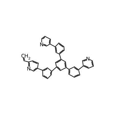 C=Cc1ccc(-c2cccc(-c3cc(-c4cccc(-c5cccnc5)c4)cc(-c4cccc(-c5cccnc5)c4)c3)c2)cn1